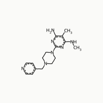 CNc1nc(N2CCN(Cc3ccncc3)CC2)nc(N)c1C